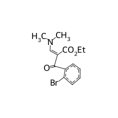 CCOC(=O)/C(=C\N(C)C)C(=O)c1ccccc1Br